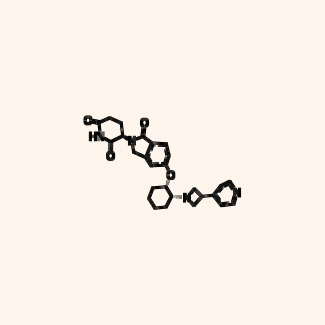 O=C1CC[C@@H](N2Cc3cc(O[C@H]4CCCC[C@H]4N4CC(c5ccncc5)C4)ccc3C2=O)C(=O)N1